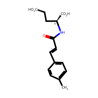 Cc1ccc(/C=C/C(=O)N[C@@H](CCC(=O)O)C(=O)O)cc1